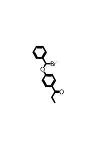 CCC(=O)c1ccc(OC(Br)c2ccccc2)cc1